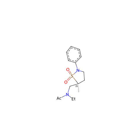 CCN(C[C@]1(C)CCN(c2ccccc2)S1(=O)=O)C(C)=O